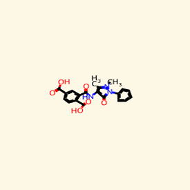 Cc1c(NC(=O)c2cc(C(=O)O)ccc2C(=O)O)c(=O)n(-c2ccccc2)n1C